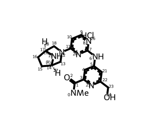 CNC(=O)c1cc(Nc2nccc(N3C[C@H]4CC[C@@H](C3)N4)n2)cc(CO)n1.Cl